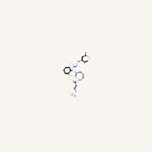 Cc1cc(C(=O)Nc2nc3cccc(Cl)c3n2C2CCCCN(C(=O)/C=C/CN(C)C)C2)ccn1